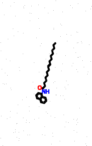 CCCCCCCCC=CCCCCCCCC(=O)Nc1cccc2ccccc12